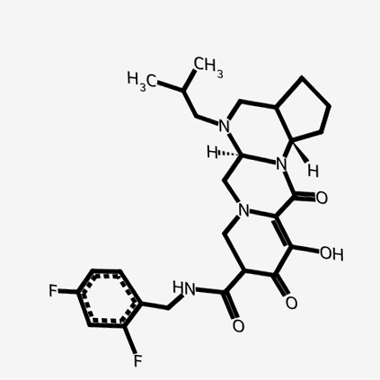 CC(C)CN1CC2CCC[C@@H]2N2C(=O)C3=C(O)C(=O)C(C(=O)NCc4ccc(F)cc4F)CN3C[C@@H]12